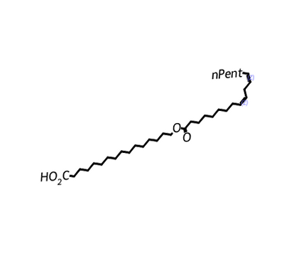 CCCCC/C=C\C/C=C\CCCCCCCC(=O)OCCCCCCCCCCCCCCCC(=O)O